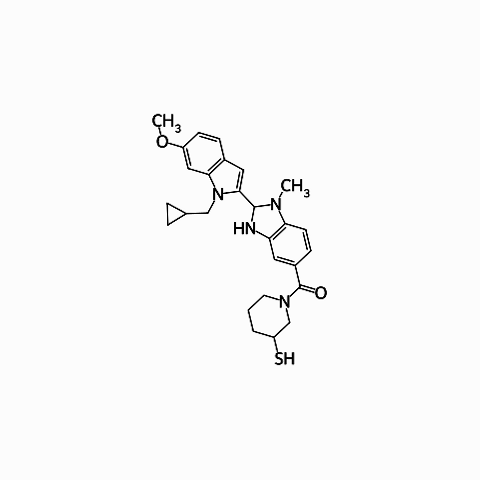 COc1ccc2cc(C3Nc4cc(C(=O)N5CCCC(S)C5)ccc4N3C)n(CC3CC3)c2c1